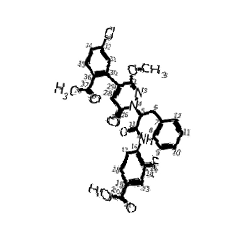 COc1nn(C(Cc2ccccc2)C(=O)Nc2ccc(C(=O)O)cc2F)c(=O)cc1-c1cc(Cl)ccc1C(C)=O